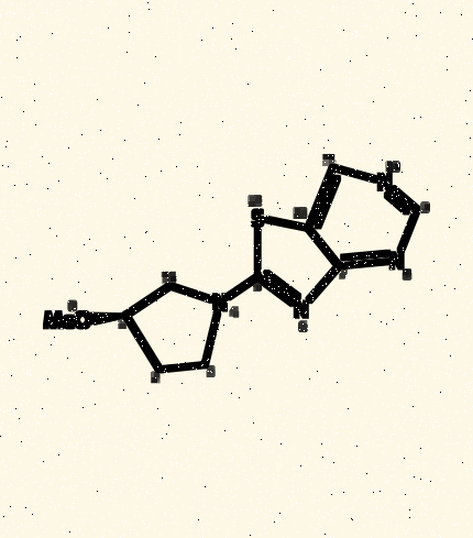 CO[C@@H]1CCN(c2nc3ncncc3s2)C1